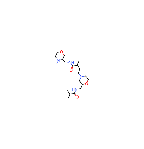 CC(C)C(=O)NCC1CN(CCC(C)C(=O)NCC2COCCN2C)CCO1